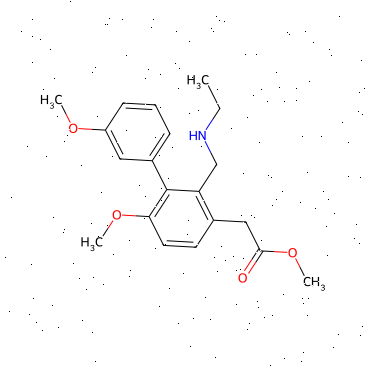 CCNCc1c(CC(=O)OC)ccc(OC)c1-c1cccc(OC)c1